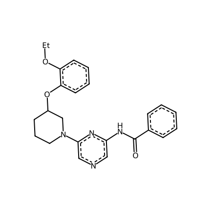 CCOc1ccccc1OC1CCCN(c2cncc(NC(=O)c3ccccc3)n2)C1